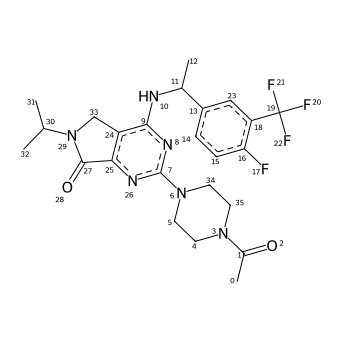 CC(=O)N1CCN(c2nc(NC(C)c3ccc(F)c(C(F)(F)F)c3)c3c(n2)C(=O)N(C(C)C)C3)CC1